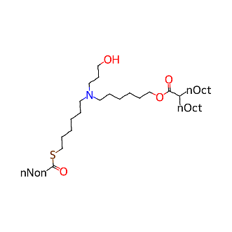 CCCCCCCCCC(=O)SCCCCCCN(CCCO)CCCCCCOC(=O)C(CCCCCCCC)CCCCCCCC